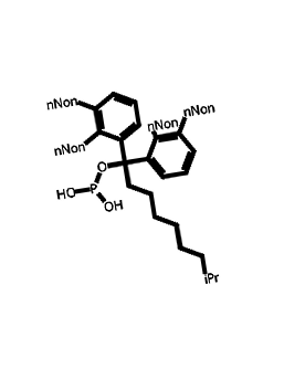 CCCCCCCCCc1cccc(C(CCCCCCC(C)C)(OP(O)O)c2cccc(CCCCCCCCC)c2CCCCCCCCC)c1CCCCCCCCC